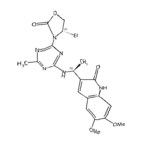 CC[C@H]1COC(=O)N1c1nc(C)nc(N[C@@H](C)c2cc3cc(OC)c(OC)cc3[nH]c2=O)n1